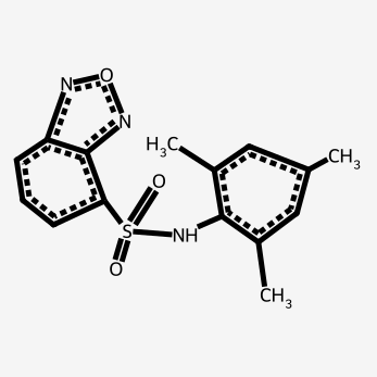 Cc1cc(C)c(NS(=O)(=O)c2cccc3nonc23)c(C)c1